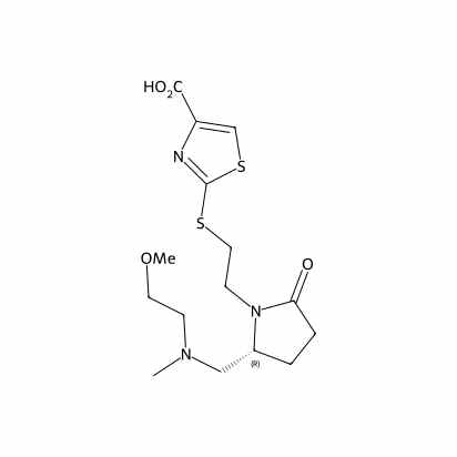 COCCN(C)C[C@H]1CCC(=O)N1CCSc1nc(C(=O)O)cs1